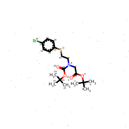 CC(C)(C)OC(=O)CN(CCSc1ccc(Br)cc1)C(=O)OC(C)(C)C